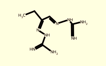 CCC(C=NNC(=N)N)=NNC(=N)N